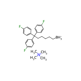 C[N+](C)(C)C.[BH3-]CCCCCC(c1ccc(F)cc1)(c1ccc(F)cc1)c1ccc(F)cc1